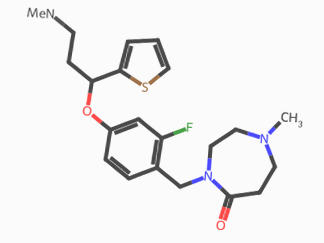 CNCCC(Oc1ccc(CN2CCN(C)CCC2=O)c(F)c1)c1cccs1